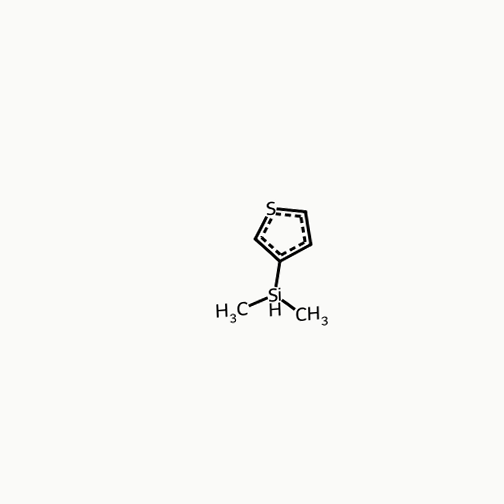 C[SiH](C)c1ccsc1